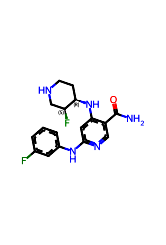 NC(=O)c1cnc(Nc2cccc(F)c2)cc1N[C@@H]1CCNC[C@@H]1F